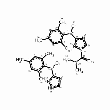 Cc1cc(C)c([S+]([O-])c2nc[nH]n2)c(C)c1.Cc1cc(C)c([S+]([O-])c2ncn(C(=O)N(C)C)n2)c(C)c1